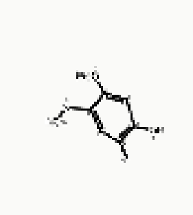 COc1cc(O)c(C)cc1SC#N